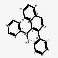 CC(C)N(c1ccccc1)c1c(-c2ccccc2)ccc2ccccc12